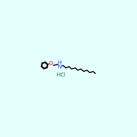 CCCCCCCCCCCCNCCOc1ccccc1.Cl